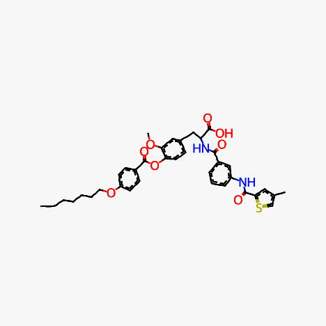 CCCCCCCOc1ccc(C(=O)Oc2ccc(CC(NC(=O)c3cccc(NC(=O)c4cc(C)cs4)c3)C(=O)O)cc2OC)cc1